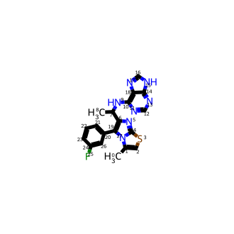 Cc1csc2nc(C(C)Nc3ncnc4[nH]cnc34)c(-c3cccc(F)c3)n12